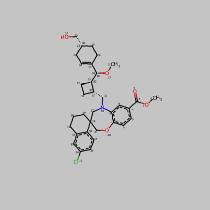 COC(=O)c1ccc2c(c1)N(C[C@@H]1CC[C@H]1[C@H](OC)C1=CC[C@H](CO)CC1)CC1(CCCc3cc(Cl)ccc31)CO2